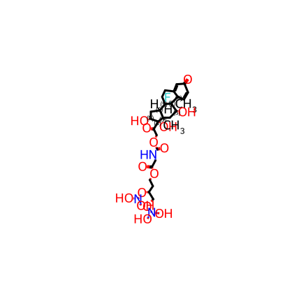 C[C@]12C=CC(=O)C=C1CC[C@H]1[C@@H]3C[C@@H](O)[C@](O)(C(=O)COC(=O)NCC(=O)OCCC(CON(O)O)ON(O)O)[C@@]3(C)C[C@H](O)[C@@]12F